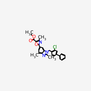 CCOC(=O)c1oc(-c2cc(C)c3nc(C)n(Cc4ccc(-c5ccccc5)cc4Cl)c3c2)nc1C